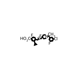 CC(c1cc(F)cc(Cl)c1)N1CCC(F)(COCc2cc(F)c(C(=O)O)cc2C2CC2)CC1